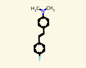 CN(C)c1ccc(C=Cc2ccc(F)cc2)cc1